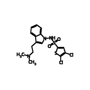 CN(C)CCc1cn(NS(=O)(=O)c2cc(Cl)c(Cl)s2)c2ccccc12